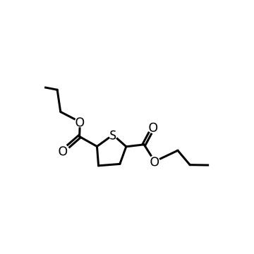 CCCOC(=O)C1CCC(C(=O)OCCC)S1